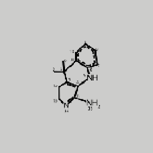 CC1(C)C2=C(Nc3ccccc31)C(N)=NCC2